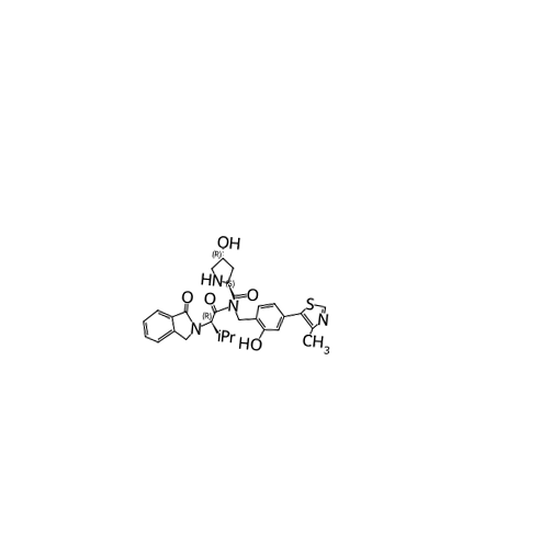 Cc1ncsc1-c1ccc(CN(C(=O)[C@@H]2C[C@@H](O)CN2)C(=O)[C@@H](C(C)C)N2Cc3ccccc3C2=O)c(O)c1